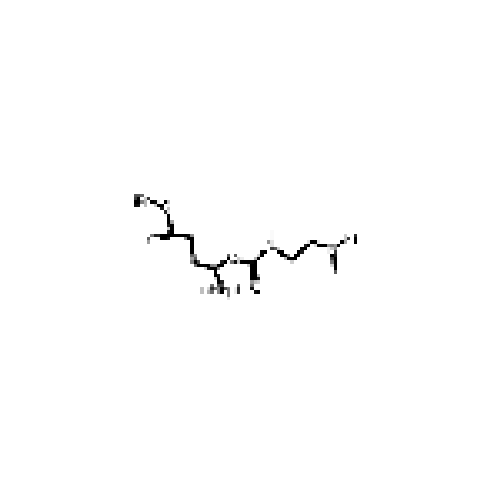 [CH2]C([CH2])OC(=O)CCC(CCCCCCC)OC(=O)NCCN(C)CC